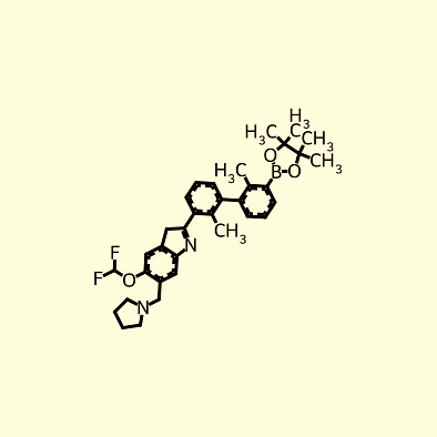 Cc1c(B2OC(C)(C)C(C)(C)O2)cccc1-c1cccc(C2=Nc3cc(CN4CCCC4)c(OC(F)F)cc3C2)c1C